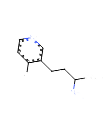 Cc1ccncc1CCC(N)C(=O)O